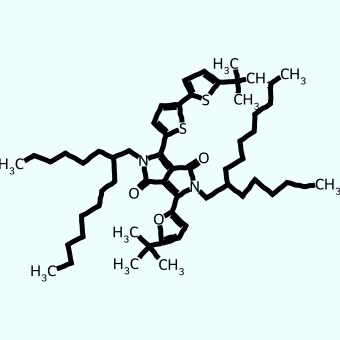 CCCCCCCCC(CCCCCC)CN1C(=O)C2=C(c3ccc(-c4ccc(C(C)(C)C)s4)s3)N(CC(CCCCCC)CCCCCCCC)C(=O)C2=C1c1ccc(C(C)(C)C)o1